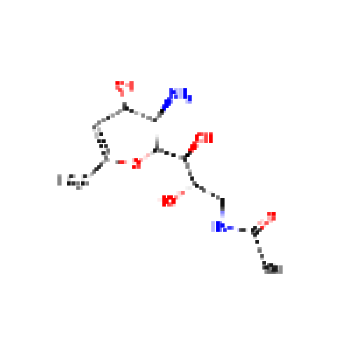 CC(C)(C)C(=O)NC[C@H](O)[C@H](O)C1OC(C(=O)O)=CC(O)[C@H]1N